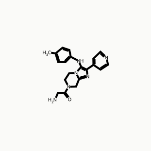 Cc1ccc(Nc2c(-c3ccncc3)nc3n2CCN(C(=O)CN)C3)cc1